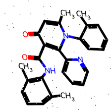 Cc1ccccc1-n1c(C)cc(=O)c(C(=O)Nc2c(C)cccc2C)c1-c1ccccn1